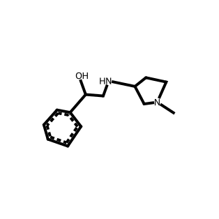 CN1CCC(NCC(O)c2ccccc2)C1